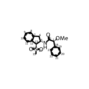 CO[C@@H](C(=O)N[C@H]1Cc2ccccc2[C@@H]1S(C)(=O)=O)c1ccccc1